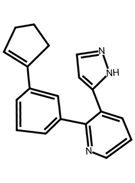 C1=C(c2cccc(-c3ncccc3-c3ccn[nH]3)c2)CCC1